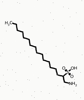 CCCCCCCCCCCCCCCC(CN)S(=O)(=O)O